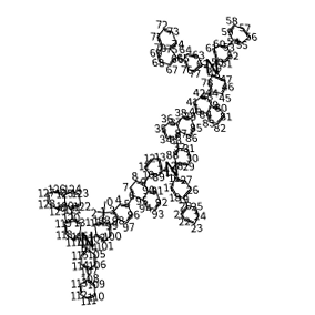 CC1(C)c2cc(-c3ccc(-c4cccc(N(c5ccc(-c6ccccc6)cc5)c5cccc(-c6cccc7cc(-c8ccc(-c9cccc(N(c%10ccc(-c%11ccccc%11)cc%10)c%10ccc(-c%11cccc%12ccccc%11%12)cc%10)c9)c9ccccc89)ccc67)c5)c4)c4ccccc34)ccc2-c2ccc(N(c3ccc(-c4ccccc4)cc3)c3cccc(-c4cccc5ccccc45)c3)cc21